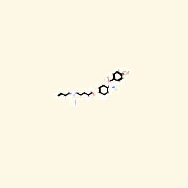 C=CCCNCCCCCO[C@H]1CC[C@H](N(C)C(=O)c2ccc(Br)cc2)CC1